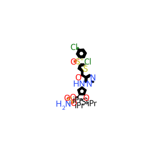 CC(C)[Si](O[C@H]1C[C@H](Nc2ncncc2C(=O)c2cc([S+]([O-])c3cccc(Cl)c3)c(Cl)s2)C[C@@H]1COS(N)(=O)=O)(C(C)C)C(C)C